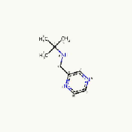 CC(C)(C)NCc1cnccn1